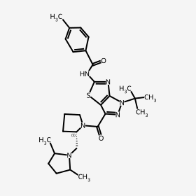 Cc1ccc(C(=O)Nc2nc3c(s2)c(C(=O)N2CCC[C@H]2CN2C(C)CCC2C)nn3C(C)(C)C)cc1